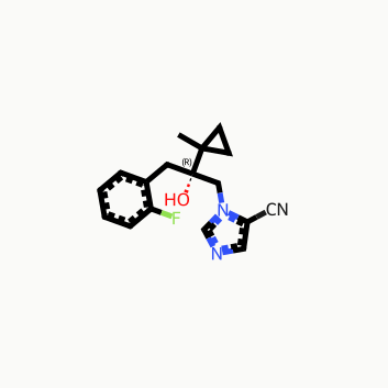 CC1([C@](O)(Cc2ccccc2F)Cn2cncc2C#N)CC1